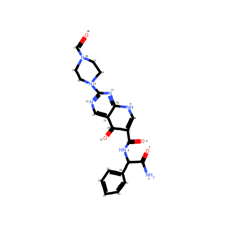 NC(=O)C(NC(=O)c1c[nH]c2nc(N3CCN(C=O)CC3)ncc2c1=O)c1ccccc1